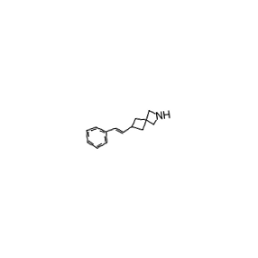 C(=CC1CC2(CNC2)C1)c1ccccc1